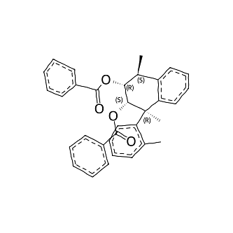 Cc1ccccc1[C@]1(C)c2ccccc2[C@H](C)[C@@H](OC(=O)c2ccccc2)[C@H]1OC(=O)c1ccccc1